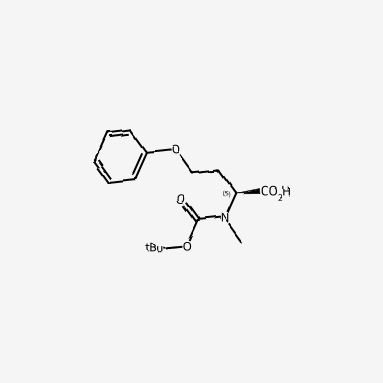 CN(C(=O)OC(C)(C)C)[C@@H](CCOc1ccccc1)C(=O)O